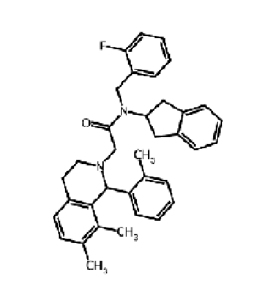 Cc1ccccc1C1c2c(ccc(C)c2C)CCN1CC(=O)N(Cc1ccccc1F)C1Cc2ccccc2C1